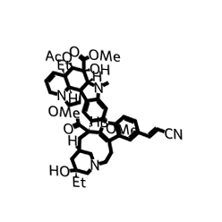 CC[C@]1(O)C[C@H]2CN(CCC3=C(Bc4ccc(/C=C/C#N)cc43)[C@@](C(=O)OC)(C3C=C4C(=CC3OC)N(C)[C@H]3[C@@](O)(C(=O)OC)[C@H](OC(C)=O)[C@]5(CC)C=CCN6CC[C@]43[C@@H]65)C2)C1